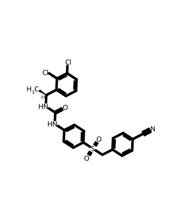 C[C@H](NC(=O)Nc1ccc(S(=O)(=O)Cc2ccc(C#N)cc2)cc1)c1cccc(Cl)c1Cl